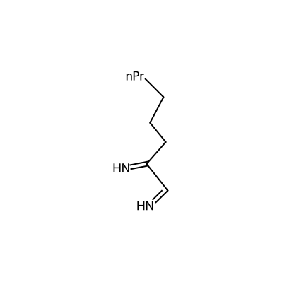 CCCCCCC(=N)C=N